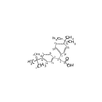 CC(C)(C)c1ccc(C(=CC(=O)O)c2ccc(C(C)(C)C)cc2)cc1